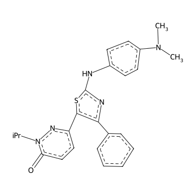 CC(C)n1nc(-c2sc(Nc3ccc(N(C)C)cc3)nc2-c2ccccc2)ccc1=O